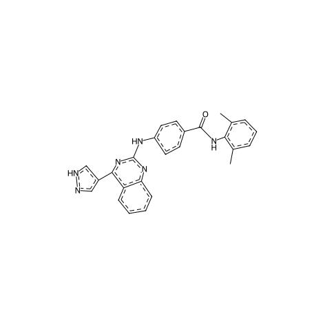 Cc1cccc(C)c1NC(=O)c1ccc(Nc2nc(-c3cn[nH]c3)c3ccccc3n2)cc1